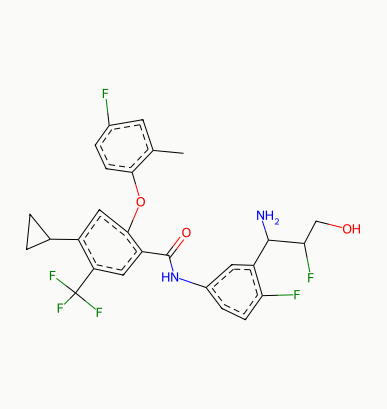 Cc1cc(F)ccc1Oc1cc(C2CC2)c(C(F)(F)F)cc1C(=O)Nc1ccc(F)c(C(N)C(F)CO)c1